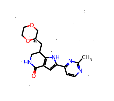 Cc1nccc(-c2cc3c([nH]2)C(C[C@@H]2COCCO2)CNC3=O)n1